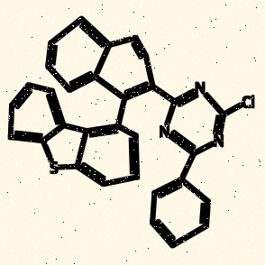 Clc1nc(-c2ccccc2)nc(-c2ccc3ccccc3c2-c2cccc3sc4ccccc4c23)n1